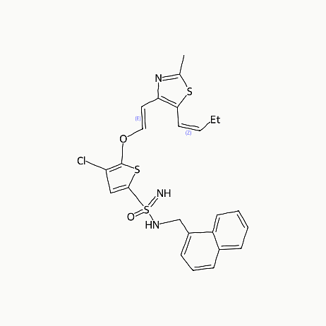 CC/C=C\c1sc(C)nc1/C=C/Oc1sc(S(=N)(=O)NCc2cccc3ccccc23)cc1Cl